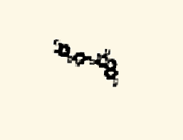 COc1ccc2c(c1)CCn1c-2cc(OCc2ccc(Oc3ccc(Cl)c(C)c3)nc2)nc1=O